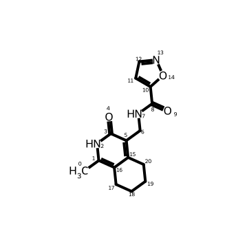 Cc1[nH]c(=O)c(CNC(=O)c2ccno2)c2c1CCCC2